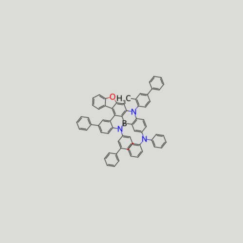 Cc1cc(-c2ccccc2)ccc1N1c2ccc(N(c3ccccc3)c3ccccc3)cc2B2c3c1cc1oc4ccccc4c1c3-c1cc(-c3ccccc3)ccc1N2c1cccc(-c2ccccc2)c1